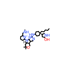 CCCCCC1([C@H]2CNC(O)C2)CCC(NC2=[N+]=C3C(C=N2)C2COC(C)(C)C[C@H]2N3C2=[N+]=C(CNC)CCC2)CC1